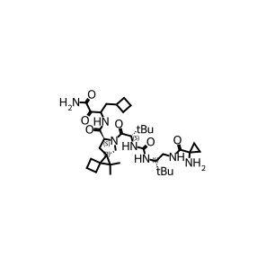 CC(C)(C)[C@H](NC(=O)N[C@H](CNC(=O)C1(N)CC1)C(C)(C)C)C(=O)N1C[C@]2(C[C@H]1C(=O)NC(CC1CCC1)C(=O)C(N)=O)C(C)(C)C21CCC1